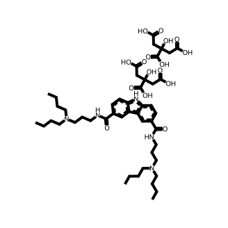 CCCCN(CCCC)CCCNC(=O)c1ccc2[nH]c3ccc(C(=O)NCCCN(CCCC)CCCC)cc3c2c1.O=C(O)CC(O)(CC(=O)O)C(=O)O.O=C(O)CC(O)(CC(=O)O)C(=O)O